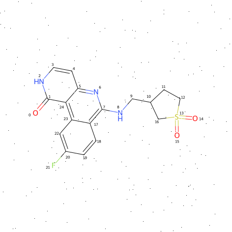 O=c1[nH]ccc2nc(NCC3CCS(=O)(=O)C3)c3ccc(F)cc3c12